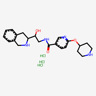 Cl.Cl.Cl.O=C(NCC(O)C1Cc2ccccc2CN1)c1ccc(OC2CCNCC2)nc1